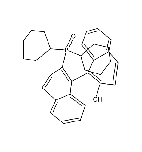 O=P(c1ccc2ccccc2c1-c1c(O)ccc2ccccc12)(C1CCCCC1)C1CCCCC1